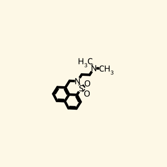 CN(C)CCN1Cc2cccc3cccc(c23)S1(=O)=O